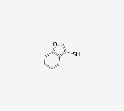 Sc1coc2ccccc12